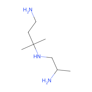 CC(N)CNC(C)(C)CCN